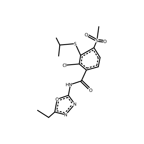 CCc1nnc(NC(=O)c2ccc(S(C)(=O)=O)c(SC(C)C)c2Cl)o1